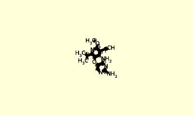 C#Cc1cc(Oc2cnc(N)nc2N)c(C(C)C)nc1OC